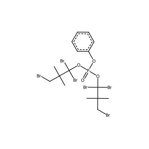 CC(C)(CBr)C(Br)(Br)OP(=O)(Oc1ccccc1)OC(Br)(Br)C(C)(C)CBr